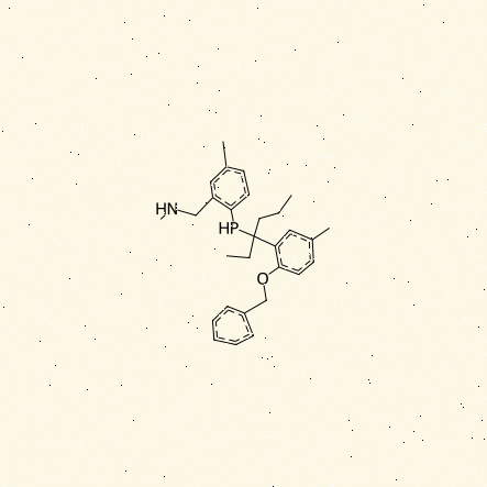 CCCC(CC)(Pc1ccc(C)cc1CNC)c1cc(C)ccc1OCc1ccccc1